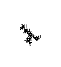 O=C(O)CCNC(=O)c1ccc(CN(CCc2cccc(Cl)c2)C(=O)Nc2ccc(Cl)c(C(F)(F)F)c2)cc1